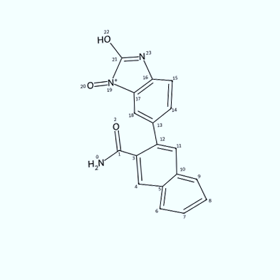 NC(=O)c1cc2ccccc2cc1-c1ccc2c(c1)[N+](=O)C(O)=N2